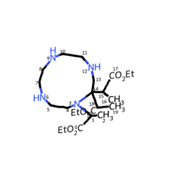 CCOC(=O)C(C)N1CCNCCNCCNCC1(C(C)C(=O)OCC)C(C)C(=O)OCC